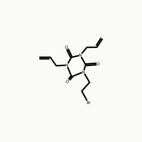 C=CCn1c(=O)n(CC=C)c(=O)n(CCBr)c1=O